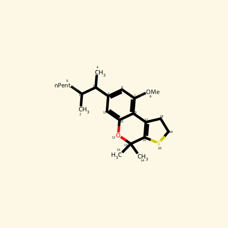 CCCCCC(C)C(C)c1cc(OC)c2c(c1)OC(C)(C)C1=C2CCS1